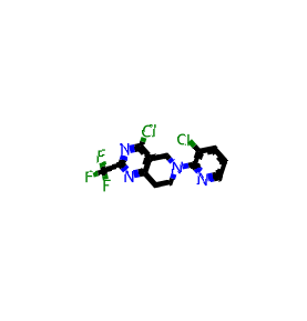 FC(F)(F)c1nc(Cl)c2c(n1)CCN(c1ncccc1Cl)C2